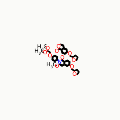 COc1cc2cc(OCC3CCCO3)ccc2c(=O)n1-c1ccc(OCC(OC)OC)cc1.O=c1occc2cc(OCC3CCCO3)ccc12